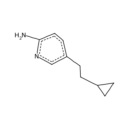 Nc1ccc(CCC2CC2)cn1